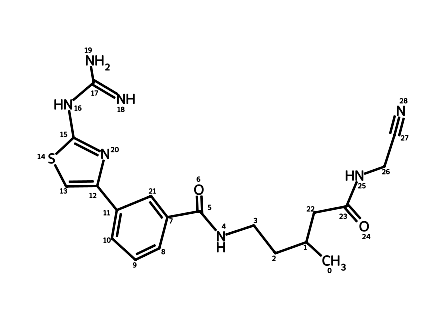 CC(CCNC(=O)c1cccc(-c2csc(NC(=N)N)n2)c1)CC(=O)NCC#N